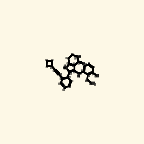 COc1c(Cl)cccc1Nc1c(-c2ccncc2C#CC2CCC2)[nH]c2c1C(=O)NCC2